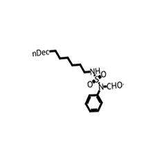 CCCCCCCCCCCCCCCCNS(=O)(=O)N([C]=O)c1ccccc1